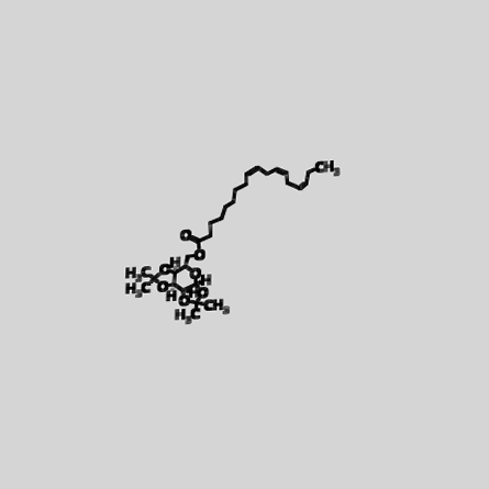 CC/C=C\C/C=C\C/C=C\CCCCCCCC(=O)OC[C@H]1O[C@@H]2OC(C)(C)O[C@@H]2[C@H]2OC(C)(C)O[C@H]21